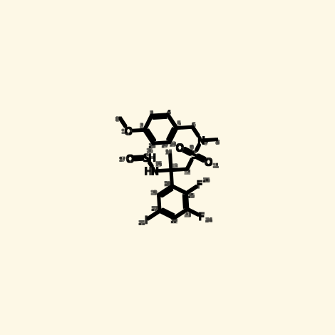 COc1ccc(CN(C)S(=O)(=O)CC(C)(N[SH]=O)c2cc(I)cc(F)c2F)cc1